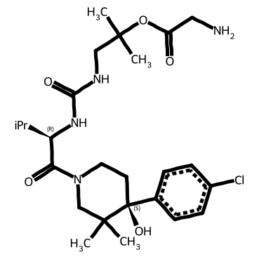 CC(C)[C@@H](NC(=O)NCC(C)(C)OC(=O)CN)C(=O)N1CC[C@](O)(c2ccc(Cl)cc2)C(C)(C)C1